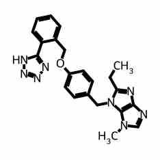 CCc1nc2ncn(C)c2n1Cc1ccc(OCc2ccccc2-c2nnn[nH]2)cc1